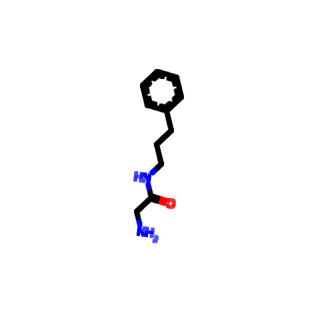 NCC(=O)NCCCc1ccccc1